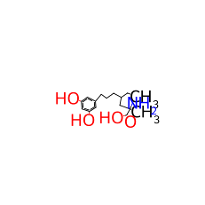 CCC(CCCc1cc(O)cc(O)c1)CC(C)(N)C(=O)O